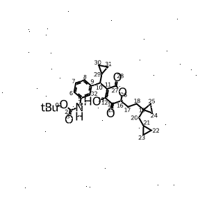 CC(C)(C)OC(=O)Nc1cccc(C(C2=C(O)C(=O)C(CCC3(CC4CC4)CC3)OC2=O)C2CC2)c1